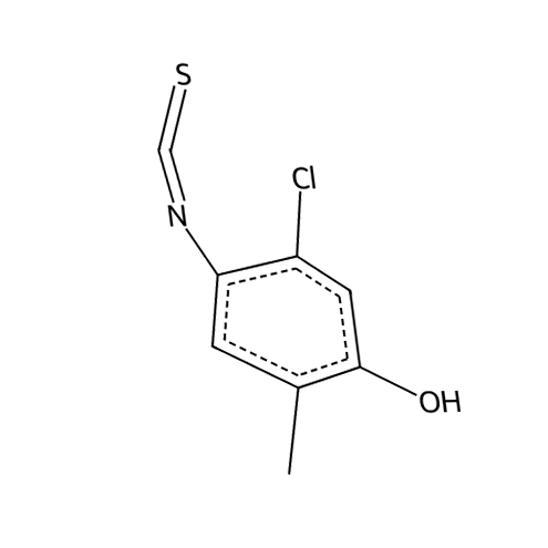 Cc1cc(N=C=S)c(Cl)cc1O